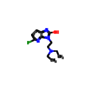 CCN(CC)CCn1c(O)nc2ccc(F)nc21